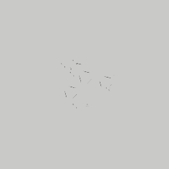 CC(=O)Nc1cccc(-c2cc(-c3cncc(F)c3)cc3cnc(N)nc23)c1